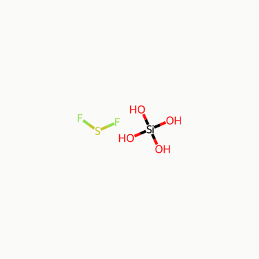 FSF.O[Si](O)(O)O